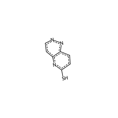 Sc1ccc2nnccc2n1